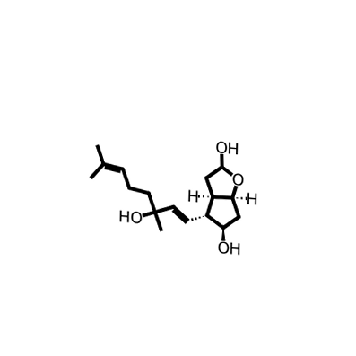 CC(C)=CCCC(C)(O)C=C[C@@H]1[C@H]2CC(O)O[C@H]2C[C@H]1O